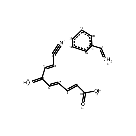 C=C(C=CC#N)C=CC=CC(=O)O.C=Cc1ccccc1